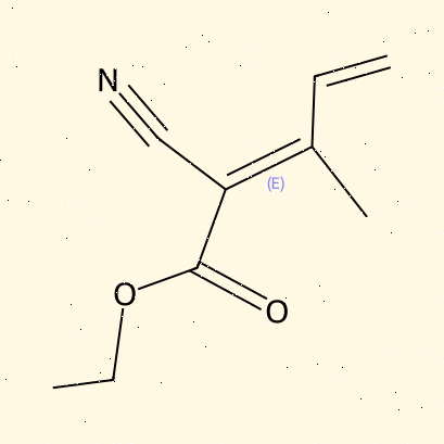 C=C/C(C)=C(\C#N)C(=O)OCC